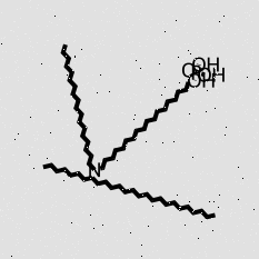 CCCCCCCCCCCCCCCCCCC(CCCCCCC)N(CCCCCCCCCCCCCCCCCC)CCCCCCCCCCCCCCCCCC.O=P(O)(O)O